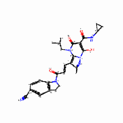 Cc1nn2c(O)c(C(=O)NC3CC3)c(=O)n(CC(C)C)c2c1/C=C/C(=O)N1CCc2cc(C#N)ccc21